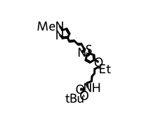 CCC(CCCCCNC(=O)OC(C)(C)C)Oc1ccc2nc(/C=C/C=C/c3ccc(NC)nc3)sc2c1